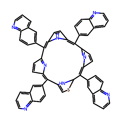 C1=CC2=C(c3ccc4ncccc4c3)C3=CSC(N3)C(c3ccc4ncccc4c3)=C3C=CC(=N3)C(c3ccc4ncccc4c3)=c3ccc([nH]3)=C(c3ccc4ncccc4c3)C1=N2